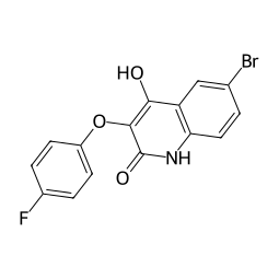 O=c1[nH]c2ccc(Br)cc2c(O)c1Oc1ccc(F)cc1